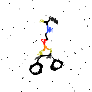 CNC(=S)NCCOP1S[C@H](c2ccccc2)[C@@H](c2ccccc2)S1